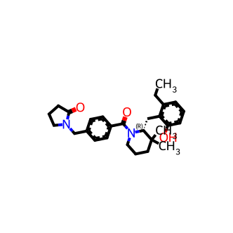 CCc1cccc(O)c1C[C@H]1N(C(=O)c2ccc(CN3CCCC3=O)cc2)CCCC1(C)C